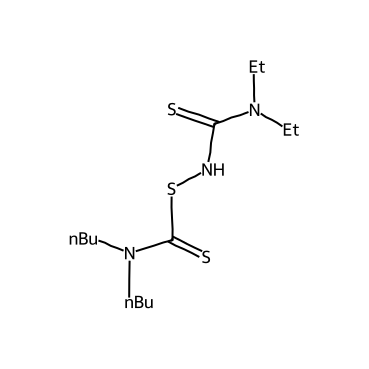 CCCCN(CCCC)C(=S)SNC(=S)N(CC)CC